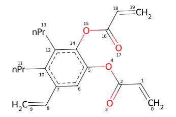 C=CC(=O)Oc1cc(C=C)c(CCC)c(CCC)c1OC(=O)C=C